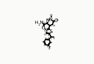 CC(c1cccc(F)c1)c1cnc(C2CC(=O)N(C)N=C2C(N)=O)s1